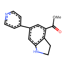 COC(=O)c1cc(-c2ccncc2)cc2c1CCN2